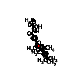 COC(=O)C(O)CNC(=O)c1ccc(C(CC(C)(C)C)Oc2cc(C)c(-c3ccc(C(C)(C)C)cc3)c(C)c2)cc1